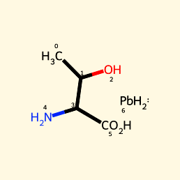 CC(O)C(N)C(=O)O.[PbH2]